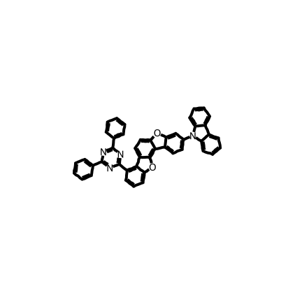 c1ccc(-c2nc(-c3ccccc3)nc(-c3cccc4oc5c(ccc6oc7cc(-n8c9ccccc9c9ccccc98)ccc7c65)c34)n2)cc1